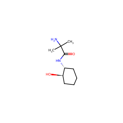 CC(C)(N)C(=O)N[C@@H]1CCCC[C@H]1O